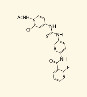 CC(=O)Nc1ccc(NC(=S)Nc2ccc(NC(=O)c3ccccc3F)cc2)cc1Cl